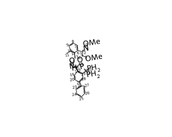 CO/N=C(/C(=O)OC)c1cccc(C)c1CO/N=C(\C)c1ccc(-c2ccccc2)cc1C(P)(P)P